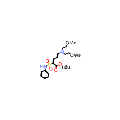 CCCCOC(=O)/C(=C\C=C\N(CCOC)CCOC)S(=O)(=O)Nc1ccccc1